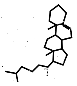 CC(C)CCC[C@@H](C)C1CCC2C3CC=C4C[CH]CCC4(C)C3CCC21C